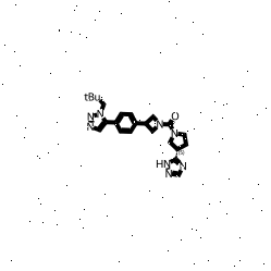 CC(C)(C)Cn1nncc1-c1ccc(C2CN(C(=O)N3CC[C@H](c4ncn[nH]4)C3)C2)cc1